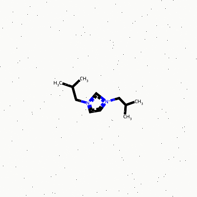 CC(C)Cn1cc[n+](CC(C)C)c1